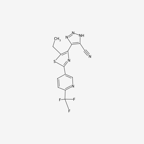 CCc1sc(-c2ccc(C(F)(F)F)nc2)nc1-c1nn[nH]c1C#N